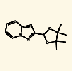 CC1(C)OB(c2nc3ccccn3n2)OC1(C)C